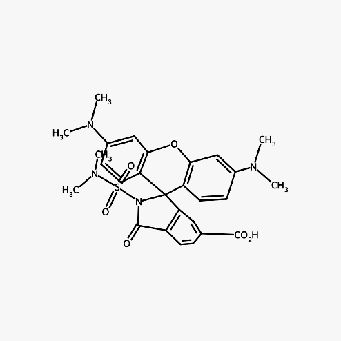 CN(C)c1ccc2c(c1)Oc1cc(N(C)C)ccc1C21c2cc(C(=O)O)ccc2C(=O)N1S(=O)(=O)N(C)C